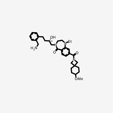 CCN1CCN(C[C@@H](O)CCc2ccccc2CN)C(=O)c2ccc(C(=O)N3CC4(CCC(OC)CC4)C3)cc21